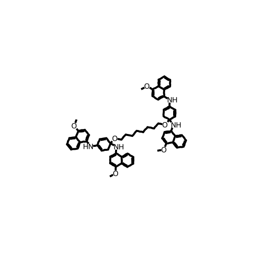 COc1ccc(NC2=CCC(Nc3ccc(OC)c4ccccc34)(OCCCCCCCCOC3(Nc4ccc(OC)c5ccccc45)C=CC(Nc4ccc(OC)c5ccccc45)=CC3)C=C2)c2ccccc12